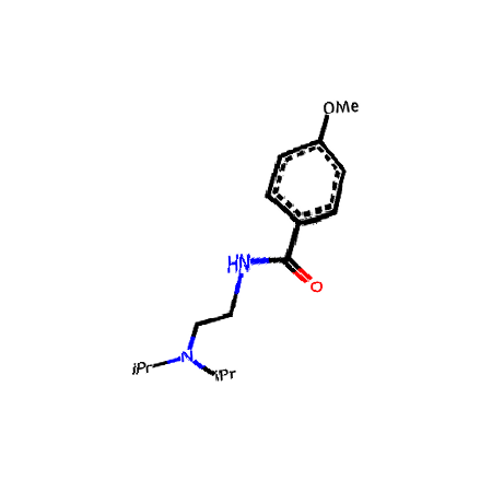 COc1ccc(C(=O)NCCN(C(C)C)C(C)C)cc1